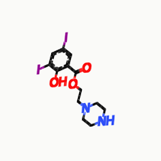 O=C(OCCN1CCNCC1)c1cc(I)cc(I)c1O